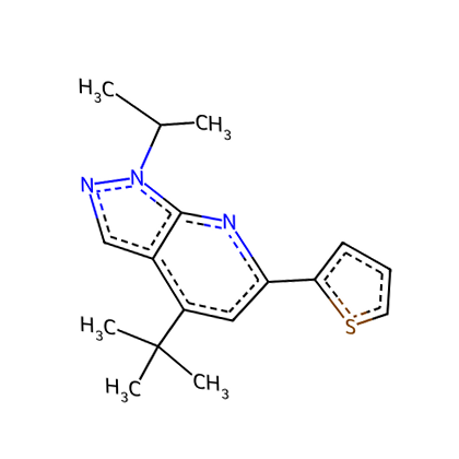 CC(C)n1ncc2c(C(C)(C)C)cc(-c3cccs3)nc21